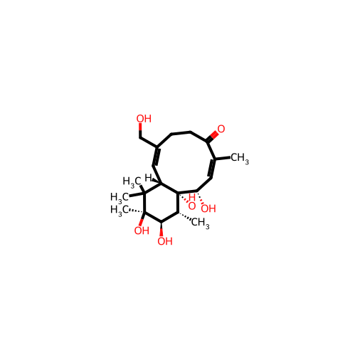 C/C1=C/[C@H](O)[C@@]2(O)[C@H](C)[C@@H](O)[C@@](C)(O)C(C)(C)[C@@H]2/C=C(/CO)CCC1=O